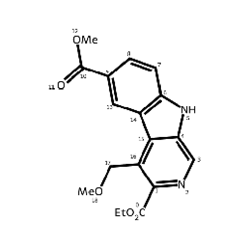 CCOC(=O)c1ncc2[nH]c3ccc(C(=O)OC)cc3c2c1COC